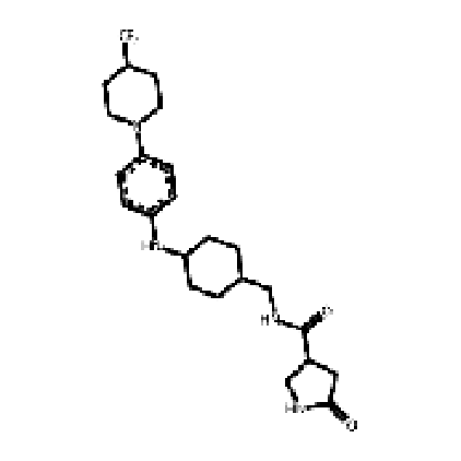 O=C1CC(C(=O)NCC2CCC(Nc3ccc(N4CCC(C(F)(F)F)CC4)cc3)CC2)CN1